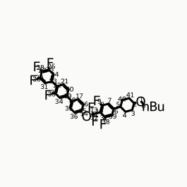 CCCCOC1CCC(c2cc(F)c(C(F)(F)Oc3ccc(-c4ccc(-c5cc(F)c(F)c(F)c5)c(F)c4)cc3)c(F)c2)CC1